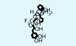 CC1(C)C2CCC1(C)C(OC(=O)C1CCCN1C(=O)C(NC(=O)C(O)Cc1ccc(O)c(O)c1)C(F)(F)F)C2